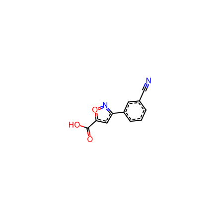 N#Cc1cccc(-c2cc(C(=O)O)on2)c1